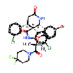 CC(C)(Oc1ccc(Br)cc1[C@H]1NC(=O)C[C@@H](c2cccc(Cl)c2)[C@]12C(=O)Nc1cc(Cl)ccc12)C(=O)N1CCC(F)(F)CC1